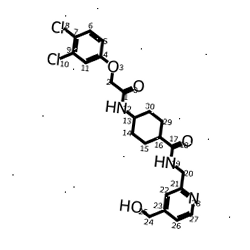 O=C(COc1ccc(Cl)c(Cl)c1)NC1CCC(C(=O)NCc2cc(CO)ccn2)CC1